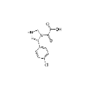 O=C(O)C(=O)N1CNC=C1c1ccc(Cl)cc1